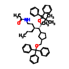 CCC[C@@H](CCNC(C)=O)[C@H](CO[Si](c1ccccc1)(c1ccccc1)C(C)(C)C)C1CCC(COC(c2ccccc2)(c2ccccc2)c2ccccc2)C1